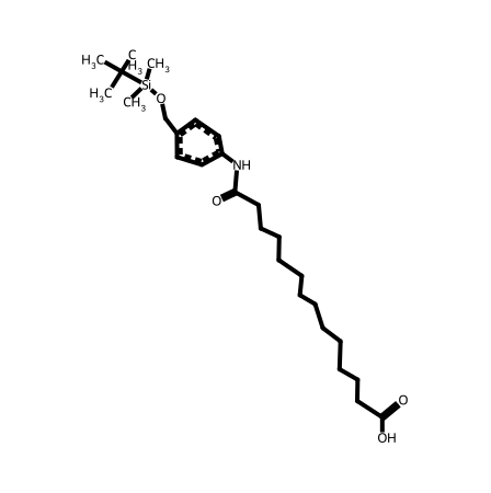 CC(C)(C)[Si](C)(C)OCc1ccc(NC(=O)CCCCCCCCCCCCC(=O)O)cc1